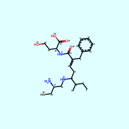 CCC(C)C(C/C=C(\Cc1ccccc1)C(=O)NC(CCO)C(=O)O)NC[C@H](N)CS